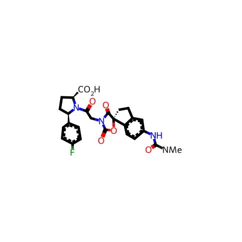 CNC(=O)Nc1ccc2c(c1)CC[C@@]21OC(=O)N(CC(=O)N2[C@@H](c3ccc(F)cc3)CC[C@H]2C(=O)O)C1=O